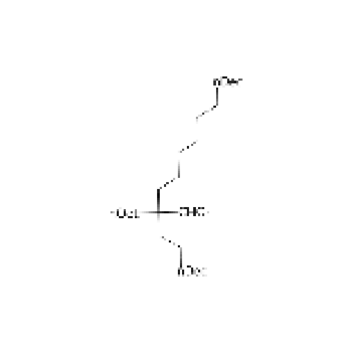 CCCCCCCCCCCCCCCCC([C]=O)(CCCCCCCC)CCCCCCCCCCCC